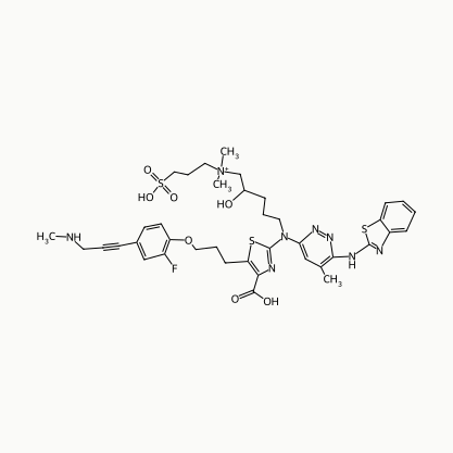 CNCC#Cc1ccc(OCCCc2sc(N(CCCC(O)C[N+](C)(C)CCCS(=O)(=O)O)c3cc(C)c(Nc4nc5ccccc5s4)nn3)nc2C(=O)O)c(F)c1